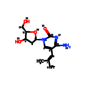 CCCC(C)=Cc1cn([C@H]2CC(O)[C@@H](CO)O2)c(=O)nc1N